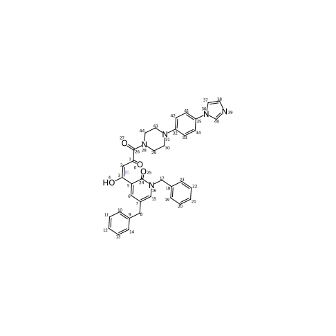 O=C(/C=C(/O)c1cc(Cc2ccccc2)cn(Cc2ccccc2)c1=O)C(=O)N1CCN(c2ccc(-n3ccnc3)cc2)CC1